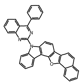 c1ccc(-c2nc(-n3c4ccccc4c4c5oc6c7ccccc7ccc6c5ccc43)nc3ccccc23)cc1